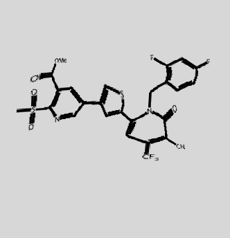 COC(=O)c1cc(-c2csc(-c3cc(C(F)(F)F)c(C#N)c(=O)n3Cc3ccc(F)cc3F)c2)cnc1S(C)(=O)=O